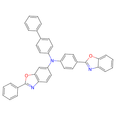 c1ccc(-c2ccc(N(c3ccc(-c4nc5ccccc5o4)cc3)c3ccc4nc(-c5ccccc5)oc4c3)cc2)cc1